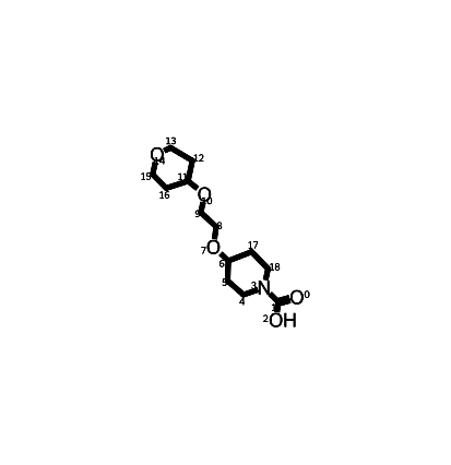 O=C(O)N1CCC(OCCOC2CCOCC2)CC1